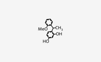 COc1ccccc1C(C)c1ccc(O)cc1O